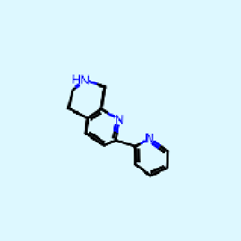 c1ccc(-c2ccc3c(n2)CNCC3)nc1